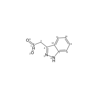 O=[SH](=O)Cc1n[nH]c2ccccc12